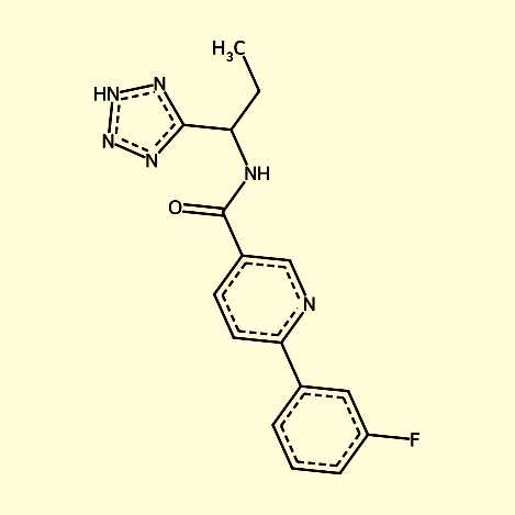 CCC(NC(=O)c1ccc(-c2cccc(F)c2)nc1)c1nn[nH]n1